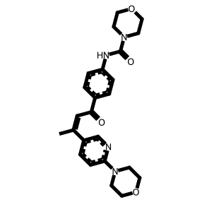 CC(=CC(=O)c1ccc(NC(=O)N2CCOCC2)cc1)c1ccc(N2CCOCC2)nc1